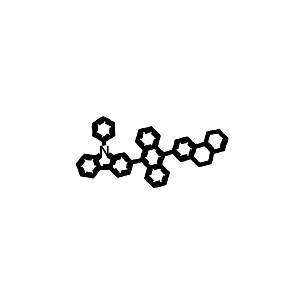 C1=CC2=C(CC1)c1ccc(-c3c4ccccc4c(-c4ccc5c6ccccc6n(-c6ccccc6)c5c4)c4ccccc34)cc1CC2